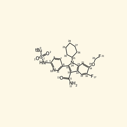 CC(C)(C)S(=O)(=O)Nc1ccc(-c2c(C(N)=O)c3cc(F)c(OCF)cc3n2C2CCCCC2)cn1